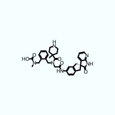 CN(Cc1ccccc1CN(CC(=O)Nc1ccc2c(c1)C[C@@]1(C2)C(=O)Nc2ncccc21)C(=O)C1(C)CCNCC1)C(=O)O